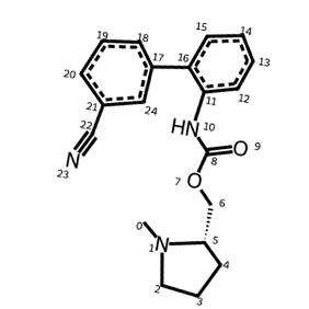 CN1CCC[C@H]1COC(=O)Nc1ccccc1-c1cccc(C#N)c1